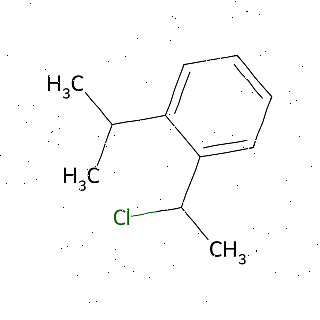 CC(C)c1ccccc1C(C)Cl